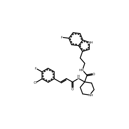 O=C(/C=C/c1ccc(F)c(Cl)c1)NC1(C(=O)NCCc2c[nH]c3ccc(F)cc23)CCNCC1